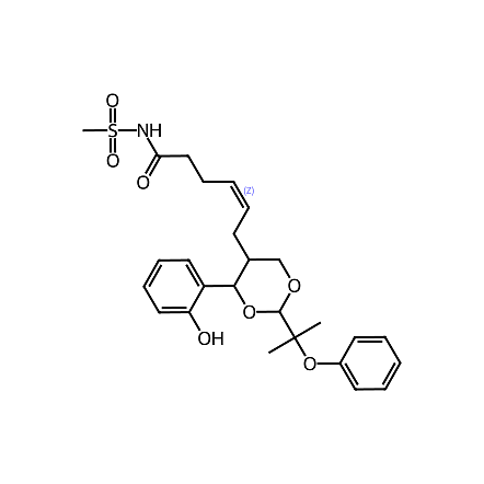 CC(C)(Oc1ccccc1)C1OCC(C/C=C\CCC(=O)NS(C)(=O)=O)C(c2ccccc2O)O1